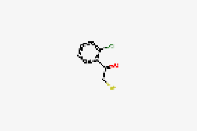 O=C(CS)c1ccccc1Cl